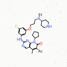 CCN(CCCOc1cc(F)cc(Nc2ncc3c(C)c(C(C)=O)c(=O)n(C4CCCC4)c3n2)c1)C1CCNCC1